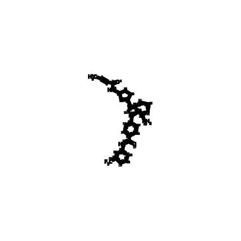 CC#CC(=O)NC1C=C(c2nc(-c3ccc(C(=O)Nc4cc(C(F)(F)F)ccn4)cc3)c3c(N)nccn23)CC1